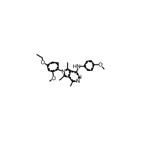 CCOc1ccc(-n2c(C)c3c(C)nnc(Nc4ccc(OC)cc4)c3c2C)c(OC)c1